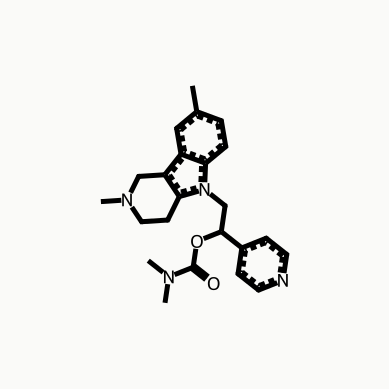 Cc1ccc2c(c1)c1c(n2CC(OC(=O)N(C)C)c2ccncc2)CCN(C)C1